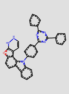 C1=Cc2c(oc3ccc4c5ccccc5n(-c5ccc(-c6nc(-c7ccccc7)nc(-c7ccccc7)n6)cc5)c4c23)NN1